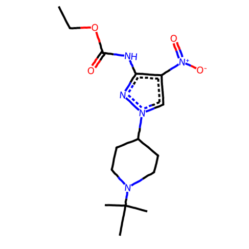 CCOC(=O)Nc1nn(C2CCN(C(C)(C)C)CC2)cc1[N+](=O)[O-]